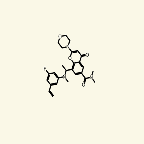 C=Cc1cc(F)cc(N(C)C(C)c2cc(C(=O)N(C)C)cc3c(=O)cc(N4CCOCC4)oc23)c1